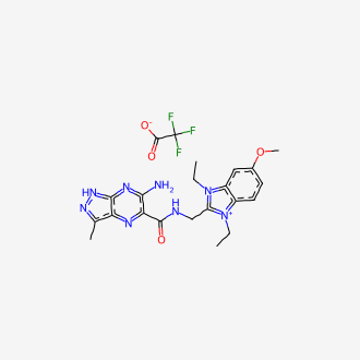 CCn1c(CNC(=O)c2nc3c(C)n[nH]c3nc2N)[n+](CC)c2ccc(OC)cc21.O=C([O-])C(F)(F)F